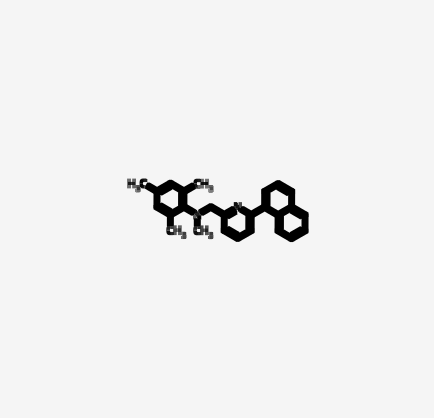 Cc1cc(C)c(N(C)Cc2cccc(-c3cccc4ccccc34)n2)c(C)c1